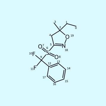 CCC1(C)CC(S(=O)(=O)C(F)(F)c2ccccc2)=NO1